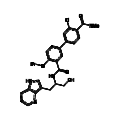 CNC(=O)c1ccc(-c2ccc(OC(C)C)c(C(=O)NC(CO)Cc3c[nH]c4cccnc34)c2)cc1Cl